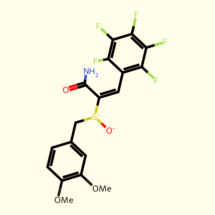 COc1ccc(C[S+]([O-])C(=Cc2c(F)c(F)c(F)c(F)c2F)C(N)=O)cc1OC